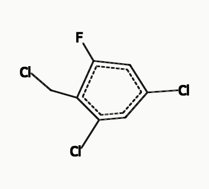 Fc1cc(Cl)cc(Cl)c1CCl